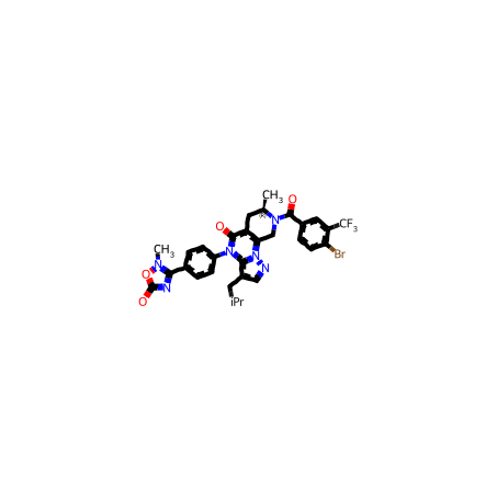 CC(C)Cc1cnn2c3c(c(=O)n(-c4ccc(-c5nc(=O)on5C)cc4)c12)C[C@@H](C)N(C(=O)c1ccc(Br)c(C(F)(F)F)c1)C3